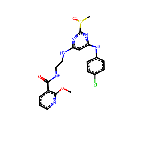 COc1ncccc1C(=O)NCCNc1cc(Nc2ccc(Cl)cc2)nc([S+](C)[O-])n1